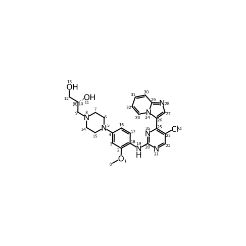 COc1cc(N2CCN(C[C@@H](O)CO)CC2)ccc1Nc1ncc(Cl)c(-c2cnc3ccccn23)n1